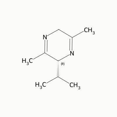 CC1=N[C@H](C(C)C)C(C)=NC1